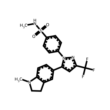 CNS(=O)(=O)c1ccc(-n2nc(C(F)(F)F)cc2-c2ccc3c(c2)CCN3C)cc1